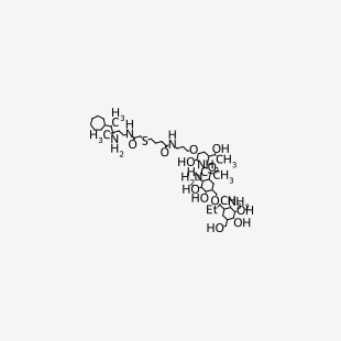 CCC(C)(OCC1CC(C(C)(C)OCC(CC(OCCCNC(=O)CCCSCC(=O)NCCC(C)(N)C(C)C2CCCCCC2)C(N)O)C(C)O)C(N)C(O)C1O)C1CC(CO)C(O)C(O)C1N